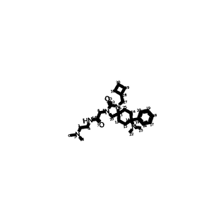 CN(C)CCNC(=O)CN1CC2(CCC(c3ccccc3)(N(C)C)CC2)N(CC2CCC2)C1=O